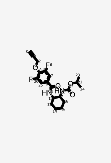 C#CCOc1c(F)cc(C(=O)NC2CCCCC2NC(=O)OC(C)C)cc1F